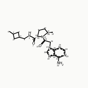 CC1CC(CNC(=O)[C@@H]2CC[C@@H](C)N2C(=O)Cn2cnc3c(N)ncnc32)C1